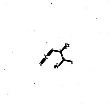 [CH]=C=CC(CC)C(C)C(C)C